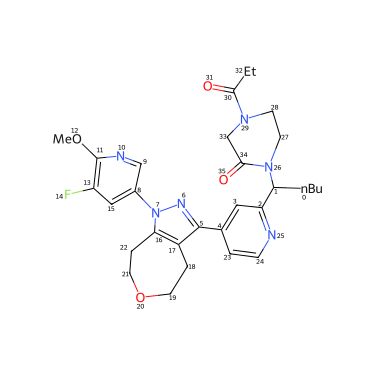 CCCCC(c1cc(-c2nn(-c3cnc(OC)c(F)c3)c3c2CCOCC3)ccn1)N1CCN(C(=O)CC)CC1=O